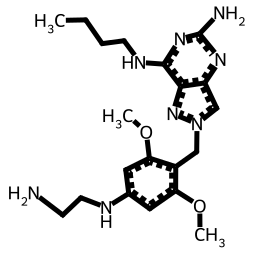 CCCCNc1nc(N)nc2cn(Cc3c(OC)cc(NCCN)cc3OC)nc12